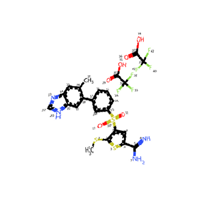 CSc1sc(C(=N)N)cc1S(=O)(=O)c1cccc(-c2cc3[nH]cnc3cc2C)c1.O=C(O)C(F)(F)F.O=C(O)C(F)(F)F